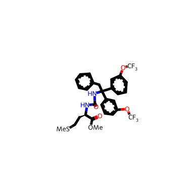 COC(=O)[C@@H](CCSC)NC(=O)NC(Cc1ccccc1)(c1cccc(OC(F)(F)F)c1)c1cccc(OC(F)(F)F)c1